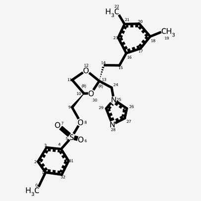 Cc1ccc(S(=O)(=O)OC[C@H]2CO[C@@](CCc3cc(C)cc(C)c3)(Cn3ccnc3)O2)cc1